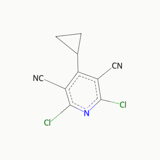 N#Cc1c(Cl)nc(Cl)c(C#N)c1C1CC1